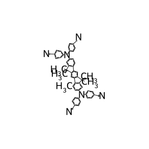 Cc1cc(N(c2ccc(C#N)cc2)c2ccc(C#N)cc2)cc2c1-c1cc3c(cc1C2(C)C)-c1ccc(N(c2ccc(C#N)cc2)c2ccc(C#N)cc2)cc1C3(C)C